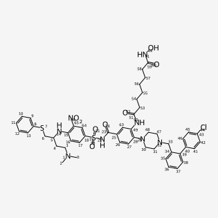 CN(C)CCC(CSc1ccccc1)Nc1ccc(S(=O)(=O)NC(=O)c2ccc(N3CCN(Cc4ccccc4-c4ccc(Cl)cc4)CC3)c(NC(=O)CCCCCCC(=O)NO)c2)cc1[N+](=O)[O-]